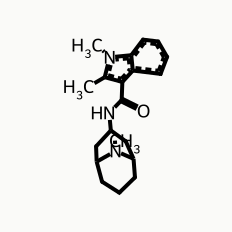 Cc1c(C(=O)NC2CC3CCCC(C2)N3C)c2ccccc2n1C